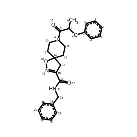 CC(Oc1ccccc1)C(=O)N1CCC2(CC1)CC(C(=O)NCc1ccccc1)=NO2